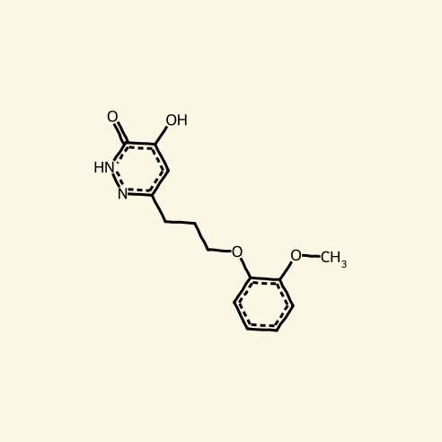 COc1ccccc1OCCCc1cc(O)c(=O)[nH]n1